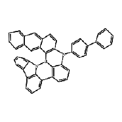 c1ccc(-c2ccc(N3c4cccc5c4B(c4c3ccc3cc6ccccc6cc43)n3c4ccccc4c4cccc-5c43)cc2)cc1